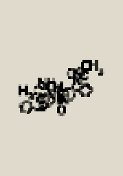 CCS(=O)(=O)N1CC2(CCN(C(=O)C(COCc3ccccc3)NC(=O)C(C)(C)N)CC2)c2ccccc21